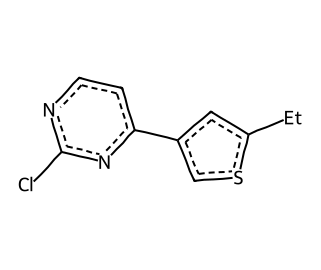 CCc1cc(-c2ccnc(Cl)n2)cs1